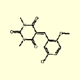 COc1ccc(Cl)cc1C=C1C(=O)N(C)C(=O)N(C)C1=O